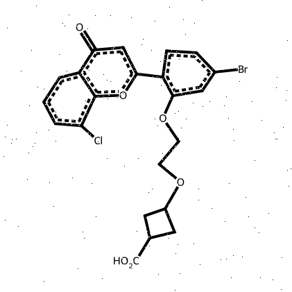 O=C(O)C1CC(OCCOc2cc(Br)ccc2-c2cc(=O)c3cccc(Cl)c3o2)C1